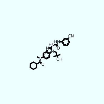 CN(C(=O)C1CCCCC1)c1ccc2c(c1)nc(NC(=O)Nc1cccc(C#N)c1)n2CC(C)(C)O